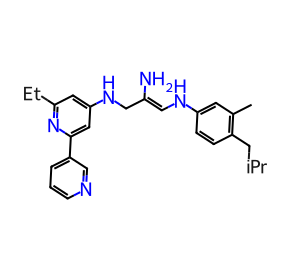 CCc1cc(NC/C(N)=C/Nc2ccc(CC(C)C)c(C)c2)cc(-c2cccnc2)n1